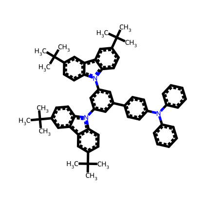 CC(C)(C)c1ccc2c(c1)c1cc(C(C)(C)C)ccc1n2-c1cc(-c2ccc(N(c3ccccc3)c3ccccc3)cc2)cc(-n2c3ccc(C(C)(C)C)cc3c3cc(C(C)(C)C)ccc32)c1